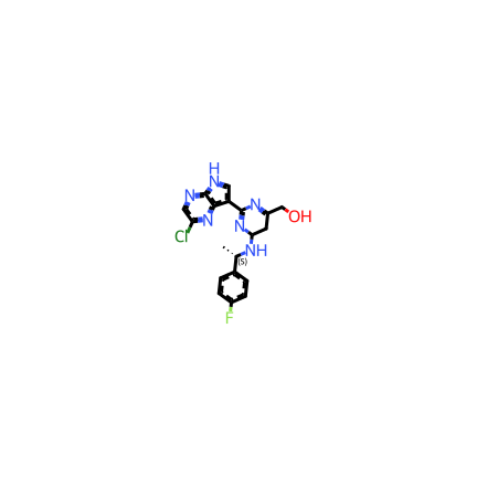 C[C@H](NC1CC(CO)=NC(c2c[nH]c3ncc(Cl)nc23)=N1)c1ccc(F)cc1